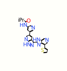 CC(C)C(=O)Nc1cncc(-c2cnc3[nH]nc(-c4nc5c(-c6cccs6)cncc5[nH]4)c3c2)c1